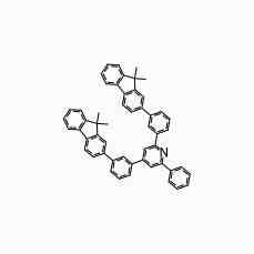 CC1(C)c2ccccc2-c2ccc(-c3cccc(-c4cc(-c5ccccc5)nc(-c5cccc(-c6ccc7c(c6)C(C)(C)c6ccccc6-7)c5)c4)c3)cc21